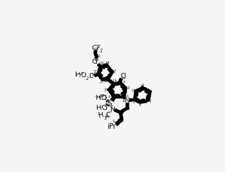 CC(C)CC1CN(c2ccccc2)c2cc(Cl)c(-c3ccc(OCC(F)(F)F)c(C(=O)O)c3)cc2S(O)(O)N1C